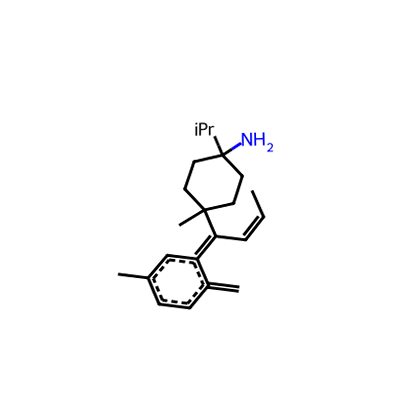 C=c1ccc(C)c/c1=C(/C=C\C)C1(C)CCC(N)(C(C)C)CC1